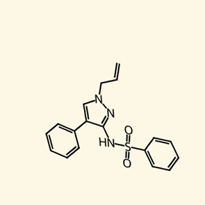 C=CCn1cc(-c2ccccc2)c(NS(=O)(=O)c2ccccc2)n1